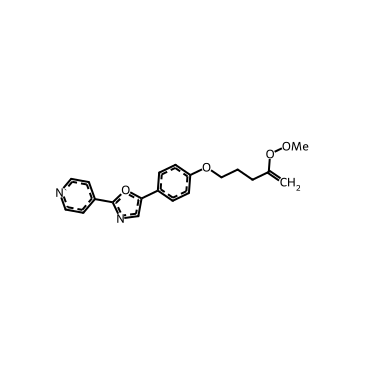 C=C(CCCOc1ccc(-c2cnc(-c3ccncc3)o2)cc1)OOC